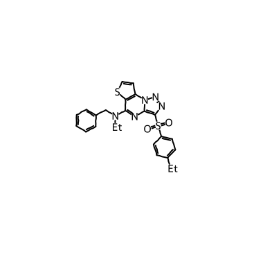 CCc1ccc(S(=O)(=O)c2nnn3c2nc(N(CC)Cc2ccccc2)c2sccc23)cc1